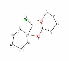 BrCC1(OC2CCCCO2)CCCCC1